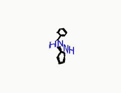 N=C1C=CC=C/C1=C/NCc1ccccc1